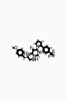 COc1ccc(C[C@H](CO)NC2NCNC(N3CCCC3c3ccc(C(F)(F)F)cc3)C2F)cc1